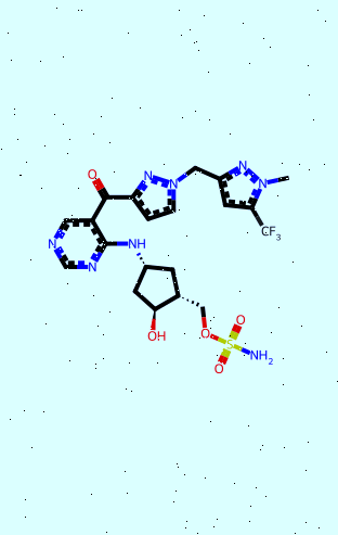 Cn1nc(Cn2ccc(C(=O)c3cncnc3N[C@@H]3C[C@H](COS(N)(=O)=O)[C@@H](O)C3)n2)cc1C(F)(F)F